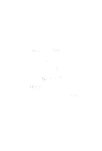 C#C[C@H]1CC(C)(C)CN1C(=O)O